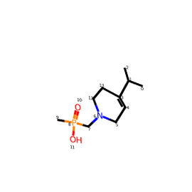 CC(C)C1=CCN(CP(C)(=O)O)CC1